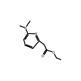 CCOC(=O)Cc1cccc(N(C)C)n1